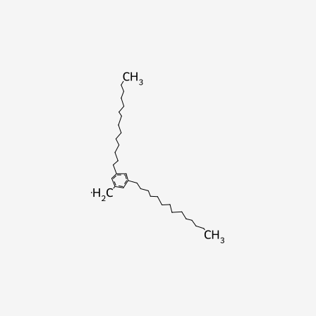 [CH2]c1cc(CCCCCCCCCCCCCC)cc(CCCCCCCCCCCCCC)c1